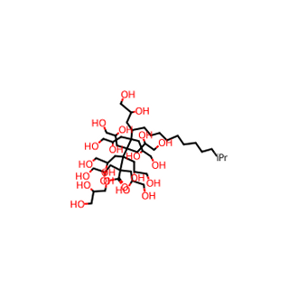 CC(C)CCCCCCCCCC(CC(O)CO)C(CC(O)CO)(CC(O)CO)C(CC(O)CO)(CC(O)CO)C(CC(O)CO)(CC(O)CO)C(CC(O)CO)(CC(O)CO)C(=O)OCC(O)CO